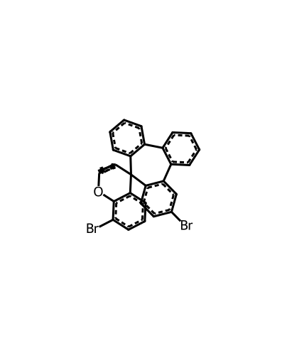 Brc1ccc2c(c1)-c1ccccc1-c1ccccc1C21c2ccccc2Oc2c(Br)cccc21